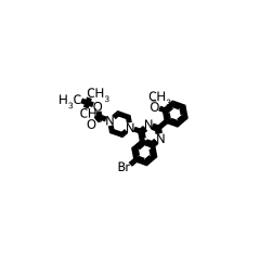 COc1ccccc1-c1nc(N2CCN(C(=O)OC(C)(C)C)CC2)c2cc(Br)ccc2n1